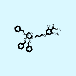 Cc1cc(OCCCC[C@H]2OC[C@@H](OCc3ccccc3)[C@H](OCc3ccccc3)[C@H]2OCc2ccccc2)cc(C)c1C(N)=O